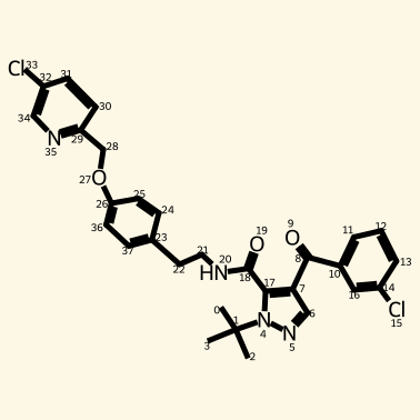 CC(C)(C)n1ncc(C(=O)c2cccc(Cl)c2)c1C(=O)NCCc1ccc(OCc2ccc(Cl)cn2)cc1